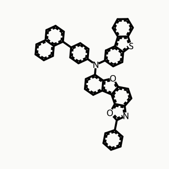 c1ccc(-c2nc3ccc4oc5c(N(c6ccc(-c7cccc8ccccc78)cc6)c6ccc7sc8ccccc8c7c6)cccc5c4c3o2)cc1